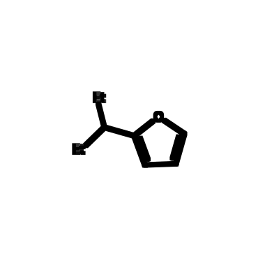 [CH2]CC(CC)c1ccco1